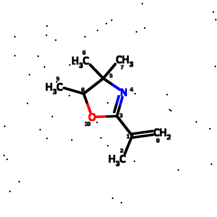 C=C(C)C1=NC(C)(C)C(C)O1